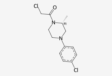 C[C@@H]1CN(c2ccc(Cl)cc2)CCN1C(=O)CCl